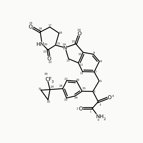 NC(=O)C(=O)C(Cc1ccc2c(c1)CN(C1CCC(=O)NC1=O)C2=O)c1ccc(C2(C(F)(F)F)CC2)cc1